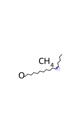 C.CCCC/C=C\CCCCCCCCCC=O